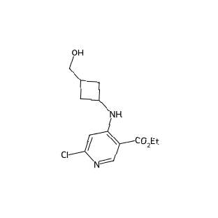 CCOC(=O)c1cnc(Cl)cc1NC1CC(CO)C1